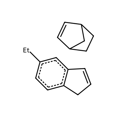 C1=CC2CCC1C2.CCc1ccc2c(c1)C=CC2